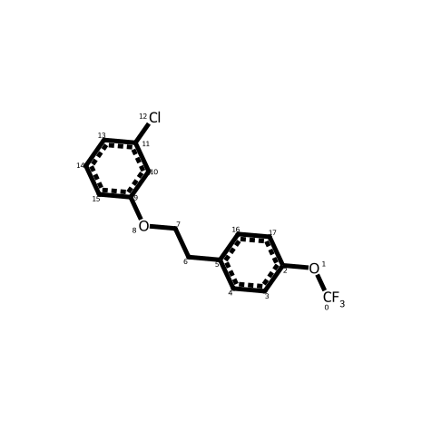 FC(F)(F)Oc1ccc(CCOc2[c]c(Cl)ccc2)cc1